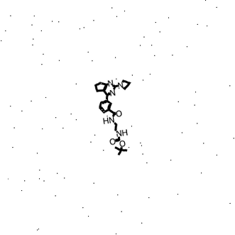 CC(C)(C)OC(=O)NCCNC(=O)c1cccc(-c2nc(N3CCC3)nc3c2CCC3)c1